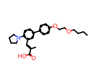 CCCCOCCOc1ccc(-c2ccc(N3CCCC3)c(/C=C(\C)C(=O)O)c2)cc1